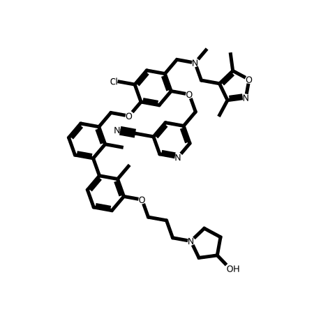 Cc1noc(C)c1CN(C)Cc1cc(Cl)c(OCc2cccc(-c3cccc(OCCCN4CCC(O)C4)c3C)c2C)cc1OCc1cncc(C#N)c1